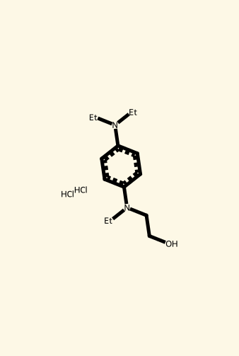 CCN(CC)c1ccc(N(CC)CCO)cc1.Cl.Cl